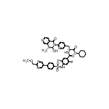 COCc1ncc(-c2ccc(S(=O)(=O)Nc3cc(F)c(C(=O)N[C@@H](Cc4ccc(N5C(=O)c6ccncc6N(C)C5O)nc4)C(=O)OC4CCCCC4)cc3F)cc2)cn1